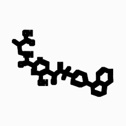 CC(CNC(=O)c1ncc(C(=O)NC(C)(C)c2ccc(-c3cccc4cnccc34)cc2)c(O)n1)C(=O)O